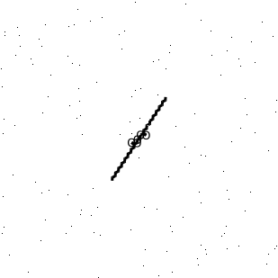 CCCCCCCCCCCCCCCC(=O)OCOOC(=O)CCCCCCCCCCCCCCC